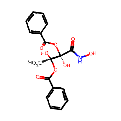 O=C(O[C@@](O)(C(=O)O)[C@@](O)(OC(=O)c1ccccc1)C(=O)NO)c1ccccc1